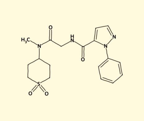 CN(C(=O)CNC(=O)c1ccnn1-c1ccccc1)C1CCS(=O)(=O)CC1